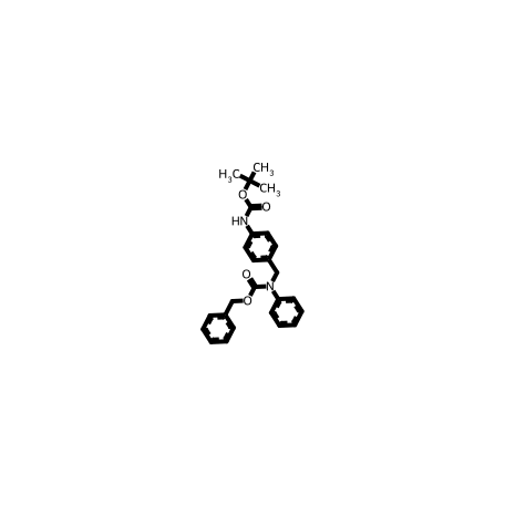 CC(C)(C)OC(=O)Nc1ccc(CN(C(=O)OCc2ccccc2)c2ccccc2)cc1